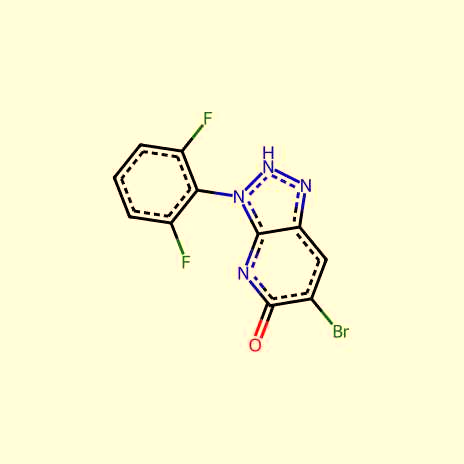 O=c1nc2n(-c3c(F)cccc3F)[nH]nc-2cc1Br